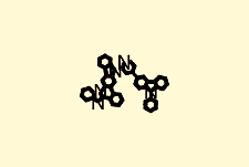 c1ccc(-n2c3ccccc3c3cc(-c4ccnc(-n5c6ccccc6c6cc7c(cc65)c5ccccc5c5nc6ccccc6n75)c4)ccc32)cc1